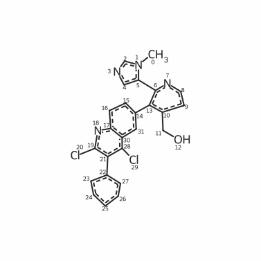 Cn1cncc1-c1nccc(CO)c1-c1ccc2nc(Cl)c(-c3ccccc3)c(Cl)c2c1